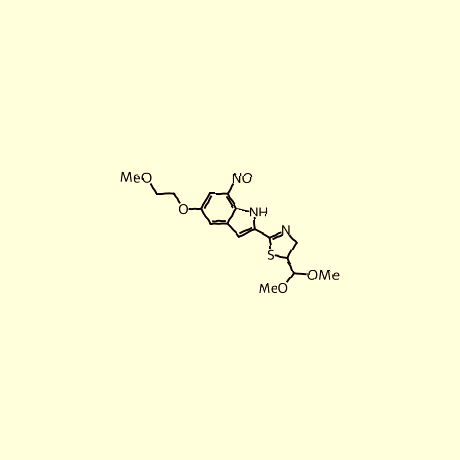 COCCOc1cc(N=O)c2[nH]c(C3=NCC(C(OC)OC)S3)cc2c1